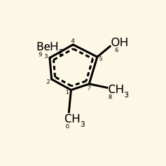 Cc1cccc(O)c1C.[BeH2]